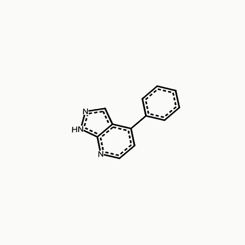 c1ccc(-c2ccnc3[nH]ncc23)cc1